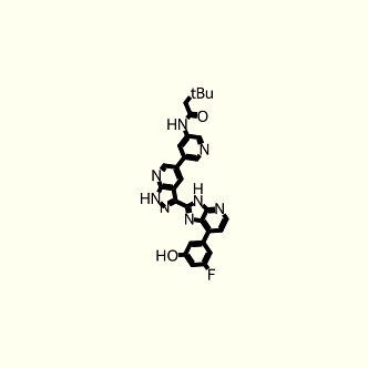 CC(C)(C)CC(=O)Nc1cncc(-c2cnc3[nH]nc(-c4nc5c(-c6cc(O)cc(F)c6)ccnc5[nH]4)c3c2)c1